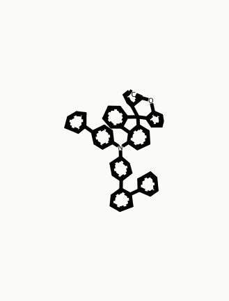 c1ccc(-c2ccc(N(c3ccc(-c4ccccc4-c4ccccc4)cc3)c3cccc4c3-c3ccccc3C43c4ccccc4Oc4ccccc43)cc2)cc1